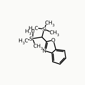 C[Si](C)(C)C(c1nc2ccccc2o1)[Si](C)(C)C